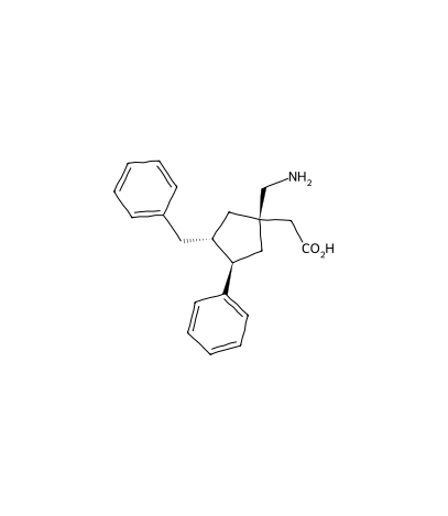 NC[C@]1(CC(=O)O)C[C@@H](Cc2ccccc2)[C@H](c2ccccc2)C1